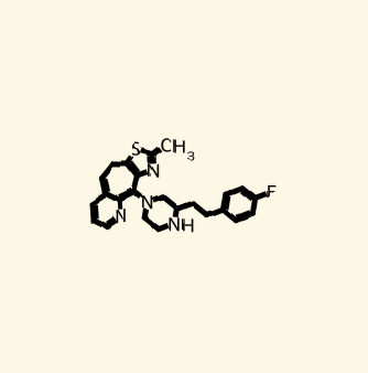 Cc1nc2c(s1)CC=c1cccnc1=C2N1CCNC(CCc2ccc(F)cc2)C1